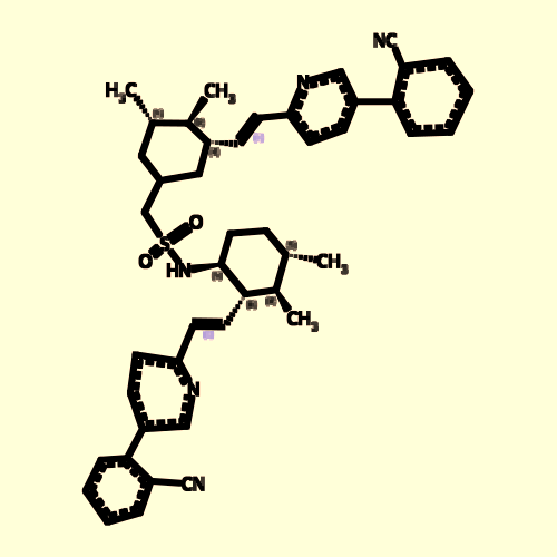 C[C@H]1[C@H](/C=C/c2ccc(-c3ccccc3C#N)cn2)[C@@H](NS(=O)(=O)CC2C[C@@H](/C=C/c3ccc(-c4ccccc4C#N)cn3)[C@H](C)[C@@H](C)C2)CC[C@@H]1C